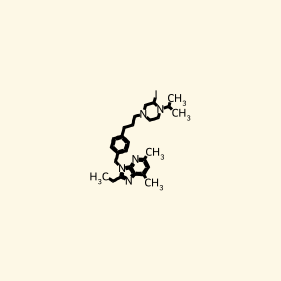 CCc1nc2c(C)cc(C)nc2n1Cc1ccc(CCCN2CCN(C(C)C)C(I)C2)cc1